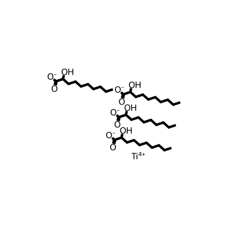 CCCCCCCCC(O)C(=O)[O-].CCCCCCCCC(O)C(=O)[O-].CCCCCCCCC(O)C(=O)[O-].CCCCCCCCC(O)C(=O)[O-].[Ti+4]